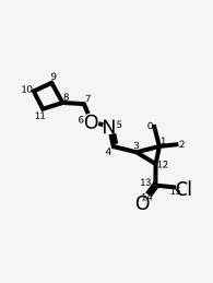 CC1(C)C(C=NOCC2CCC2)C1C(=O)Cl